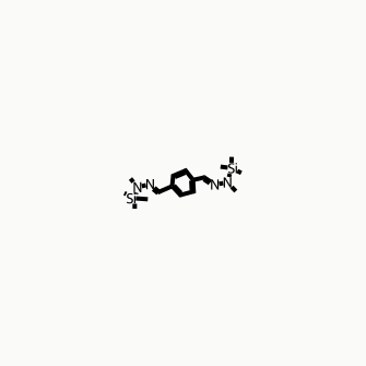 CN(N=Cc1ccc(C=NN(C)[Si](C)(C)C)cc1)[Si](C)(C)C